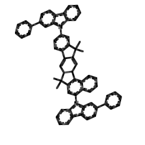 CC1(C)C2=CC3c4c(cc(-n5c6ccccc6c6ccc(-c7ccccc7)cc65)c5ccccc45)C(C)(C)C3C=C2c2ccc(-n3c4ccccc4c4ccc(-c5ccccc5)cc43)cc21